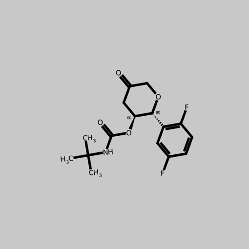 CC(C)(C)NC(=O)O[C@H]1CC(=O)CO[C@@H]1c1cc(F)ccc1F